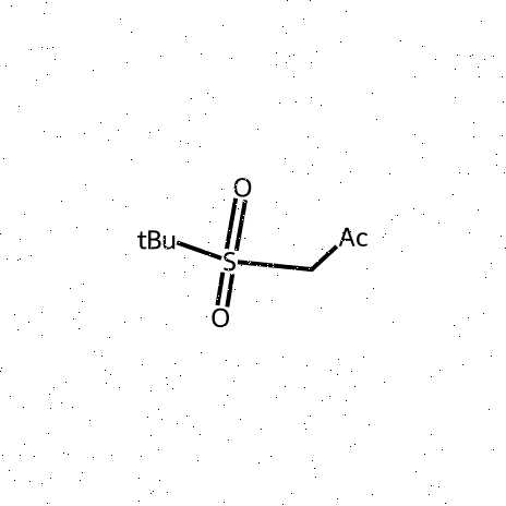 CC(=O)CS(=O)(=O)C(C)(C)C